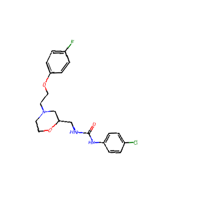 O=C(NCC1CN(CCOc2ccc(F)cc2)CCO1)Nc1ccc(Cl)cc1